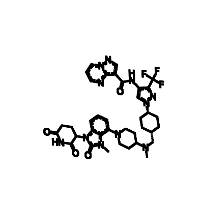 CN(C[C@H]1CC[C@H](n2cc(NC(=O)c3cnn4cccnc34)c(C(F)(F)F)n2)CC1)C1CCN(c2cccc3c2n(C)c(=O)n3C2CCC(=O)NC2=O)CC1